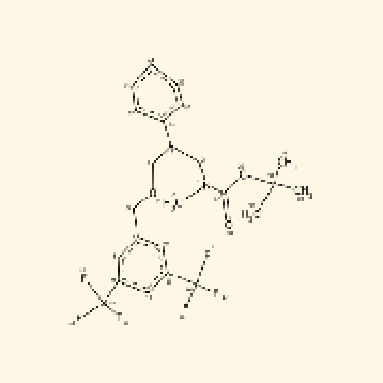 CN(CC(COCc1cc(C(F)(F)F)cc(C(F)(F)F)c1)c1ccccc1)C(=O)OC(C)(C)C